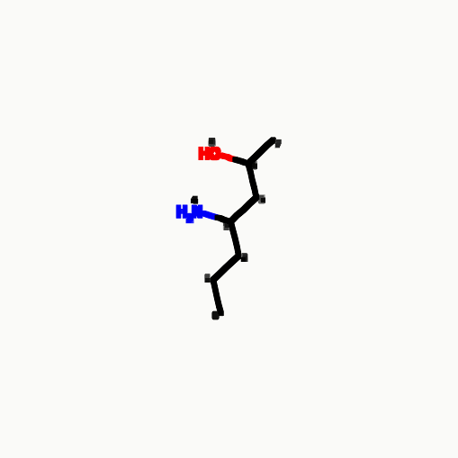 CCCC(N)CC(C)O